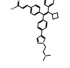 CN(C)CCn1cc(-c2ccc(/C(=C(/c3ccccc3)C3CCC3)c3ccc(/C=C/C(=O)O)cc3)cc2)cn1